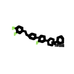 CCCCC[Si]1(c2ccccc2)CCC(c2ccc(-c3ccc(CCc4ccc(F)c(F)c4)cc3)c(F)c2)CC1